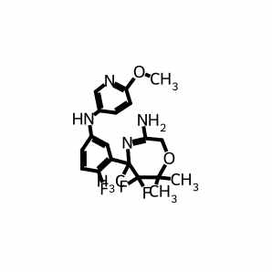 COc1ccc(Nc2ccc(F)c(C3(C)N=C(N)COC(C)(C)C3(F)F)c2)cn1